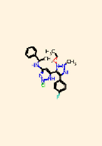 CCON1C(C2=CC(NC(C)c3ccccc3)=NN(Cl)N2)=C(c2ccc(F)cc2)NN1C